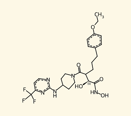 CCOc1ccc(CCCC(C(=O)N2CCC(Nc3nccc(C(F)(F)F)n3)CC2)[C@H](O)C(=O)NO)cc1